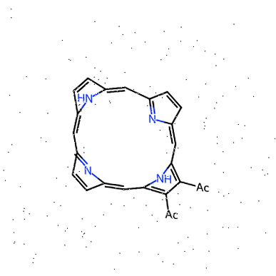 CC(=O)c1c(C(C)=O)c2cc3nc(cc4ccc(cc5nc(cc1[nH]2)C=C5)[nH]4)C=C3